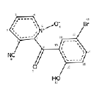 N#Cc1ccc[n+]([O-])c1C(=O)c1cc(Br)ccc1O